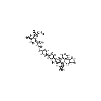 CS(=O)(=O)Nc1cc([C@@H](O)CNCC2CCN(c3ccc(C(=O)N[C@H](CC(=O)O)C(=O)OC(Cc4ccccc4)c4ccccc4)cc3)CC2)ccc1O